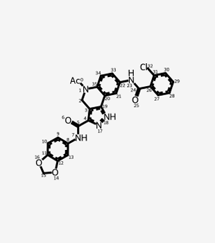 CC(=O)N1Cc2c(C(=O)Nc3ccc4c(c3)OCO4)n[nH]c2-c2cc(NC(=O)c3ccccc3Cl)ccc21